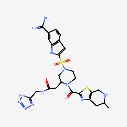 CC1Cc2nc(C(=O)N3CCN(S(=O)(=O)c4cc5ccc(C(=N)N)cc5[nH]4)CC3CC(=O)NCc3nnn[nH]3)sc2CN1